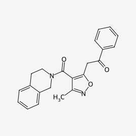 Cc1noc(CC(=O)c2ccccc2)c1C(=O)N1CCc2ccccc2C1